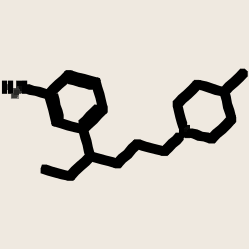 CCC(CCCN1CCC(C)CC1)c1cccc(N)c1